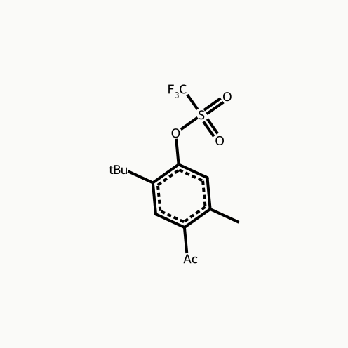 CC(=O)c1cc(C(C)(C)C)c(OS(=O)(=O)C(F)(F)F)cc1C